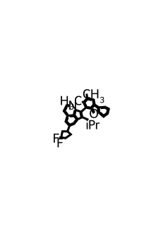 Cc1cc2c(oc3ccccc32)c(C2=C(CC(C)C)c3cc(C4CCC(F)(F)C4)cc4ccnc2c34)c1C